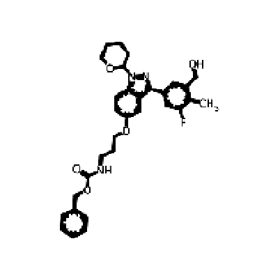 Cc1c(F)cc(-c2nn(C3CCCCO3)c3ccc(OCCCNC(=O)OCc4ccccc4)cc23)cc1CO